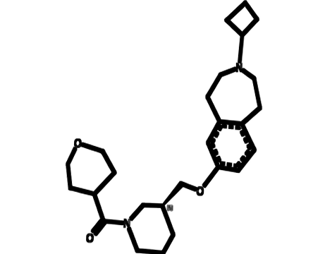 O=C(C1CCOCC1)N1CCC[C@H](COc2ccc3c(c2)CCN(C2CCC2)CC3)C1